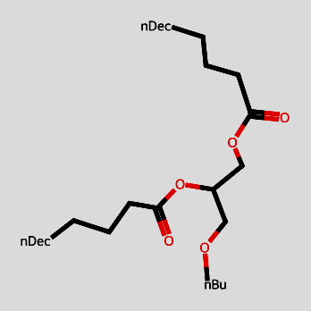 CCCCCCCCCCCCCC(=O)OCC(COCCCC)OC(=O)CCCCCCCCCCCCC